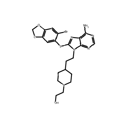 Nc1ncnc2c1nc(Sc1cc3c(cc1Br)OCO3)n2CCC1CCN(CCO)CC1